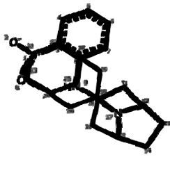 O=[N+]([O-])c1ccccc1NC1CC2CCC(C1)N2C1CC2CCCC(C2)C1